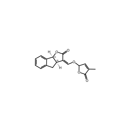 CC1=CC(OC=C2C(=O)O[C@@H]3c4ccccc4C[C@H]23)OC1=O